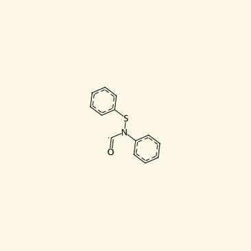 O=[C]N(Sc1ccccc1)c1ccccc1